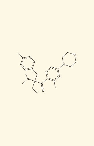 CCC(Cc1ccc(C)cc1)(C(=O)c1ccc(N2CCOCC2)cc1C)N(C)C